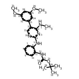 CNc1nc(Nc2ccccc2NC(=O)OC(C)(C)C)ncc1-c1cc(OC)cc(OC)c1